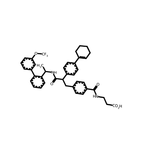 CC(NC(=O)C(Cc1ccc(C(=O)NCCC(=O)O)cc1)c1ccc(C2=CCCCC2)cc1)c1ccccc1-c1cccc(OC(F)(F)F)c1